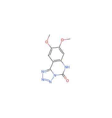 COc1cc2[nH]c(=O)n3nnnc3c2cc1OC